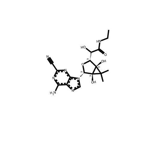 CCNC(=O)C(O)[C@H]1O[C@@H](n2cnc3c(N)nc(C#N)nc32)[C@@]2(O)C(C)(C)[C@@]12O